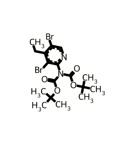 CCc1c(Br)cnc(N(C(=O)OC(C)(C)C)C(=O)OC(C)(C)C)c1Br